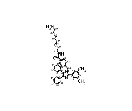 Cc1cc(C)cc(-c2nc(-c3ccccc3)c(-c3ccccc3)n2Cc2ccc(C(=O)NCCOCCOCCN)cc2)c1